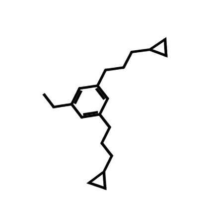 CCc1cc(CCCC2CC2)cc(CCCC2CC2)c1